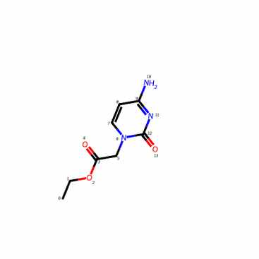 CCOC(=O)Cn1ccc(N)nc1=O